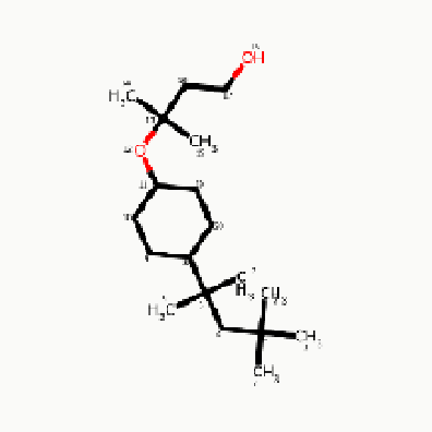 CC(C)(C)CC(C)(C)C1CCC(OC(C)(C)CCO)CC1